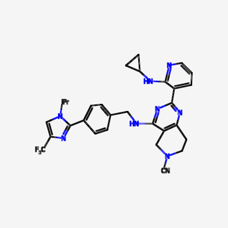 CC(C)n1cc(C(F)(F)F)nc1-c1ccc(CNc2nc(-c3cccnc3NC3CC3)nc3c2CN(C#N)CC3)cc1